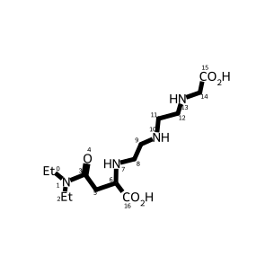 CCN(CC)C(=O)CC(NCCNCCNCC(=O)O)C(=O)O